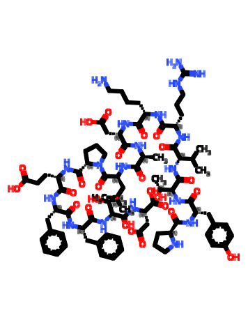 CC(C)C[C@H](NC(=O)[C@H](C)NC(=O)[C@H](CC(=O)O)NC(=O)[C@H](CCCCN)NC(=O)[C@H](CCCNC(=N)N)NC(=O)[C@@H](NC(=O)[C@@H](NC(=O)[C@H](Cc1ccc(O)cc1)NC(=O)[C@@H]1CCCN1)[C@@H](C)O)C(C)C)C(=O)N1CCC[C@H]1C(=O)N[C@@H](CCC(=O)O)C(=O)N[C@@H](Cc1ccccc1)C(=O)N[C@@H](Cc1ccccc1)C(=O)N[C@H](C(=O)N[C@@H](CC(=O)O)C(=O)O)[C@@H](C)O